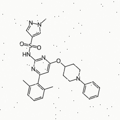 Cc1cccc(C)c1-c1cc(OC2CCN(c3ccccc3)CC2)nc(NS(=O)(=O)c2cnn(C)c2)n1